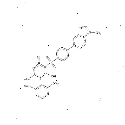 CCCCc1nc(=O)c(S(=O)(=O)c2ccc(-c3ccc4c(ccn4C)c3)cc2)c(O)n1-c1c(OC)cccc1OC